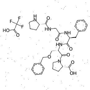 O=C(CNC(=O)[C@@H]1CCCN1)N[C@@H](Cc1ccccc1)C(=O)N[C@@H](COCc1ccccc1)C(=O)N1CCC[C@H]1C(=O)O.O=C(O)C(F)(F)F